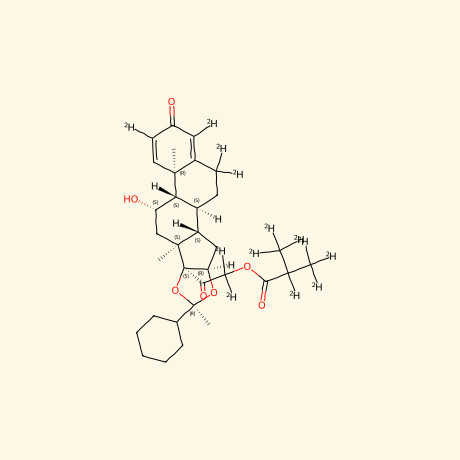 [2H]C1=C[C@@]2(C)C(=C([2H])C1=O)C([2H])([2H])C[C@@H]1[C@@H]2[C@@H](O)C[C@@]2(C)[C@H]1C[C@H]1O[C@@](C)(C3CCCCC3)O[C@]12C(=O)C([2H])([2H])OC(=O)C([2H])(C([2H])([2H])[2H])C([2H])([2H])[2H]